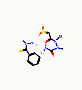 CCNC(=O)N(C)N(CC)C(=O)C=S(=O)=O.CN(N)C(=S)c1ccccc1